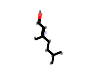 C/C(=C\C=O)CCC(C)C